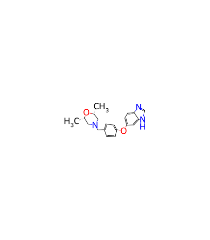 C[C@@H]1CN(Cc2ccc(Oc3ccc4nc[nH]c4c3)cc2)C[C@H](C)O1